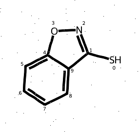 Sc1noc2ccccc12